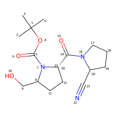 CC(C)(C)OC(=O)N1C(CO)CC[C@H]1C(=O)N1CCCC1C#N